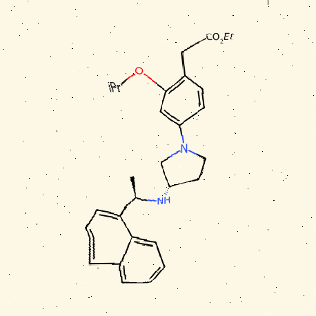 CCOC(=O)Cc1ccc(N2CC[C@H](N[C@H](C)c3cccc4ccccc34)C2)cc1OC(C)C